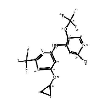 CC(F)(F)c1nc(Nc2cc(Cl)ncc2OC(F)(F)F)cc(OC2CC2)n1